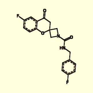 O=C1CC2(CN(C(=O)NCc3ccc(F)cc3)C2)Oc2ccc(F)cc21